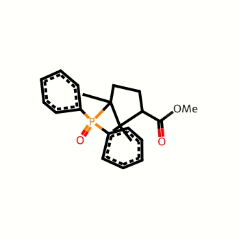 COC(=O)C1CCC(C)(P(=O)(c2ccccc2)c2ccccc2)C1(C)C